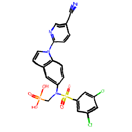 N#Cc1ccc(-n2ccc3cc(N(CP(=O)(O)O)S(=O)(=O)c4cc(Cl)cc(Cl)c4)ccc32)nc1